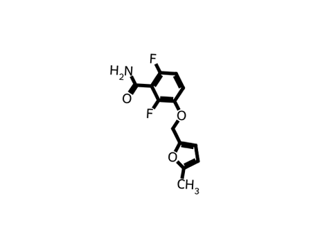 Cc1ccc(COc2ccc(F)c(C(N)=O)c2F)o1